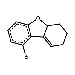 Brc1cccc2c1C1=CCCCC1O2